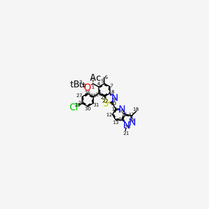 CC(=O)[C@@H](OC(C)(C)C)c1c(C)cc2nc(-c3ccc4c(n3)c(C)nn4C)sc2c1-c1ccc(Cl)cc1